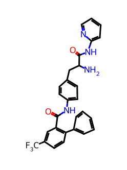 NC(Cc1ccc(NC(=O)c2cc(C(F)(F)F)ccc2-c2ccccc2)cc1)C(=O)Nc1ccccn1